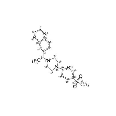 CC(c1ccc2nccnc2c1)N1CCN(c2ccc(S(C)(=O)=O)cn2)CC1